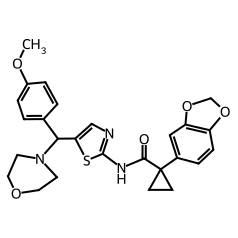 COc1ccc(C(c2cnc(NC(=O)C3(c4ccc5c(c4)OCO5)CC3)s2)N2CCOCC2)cc1